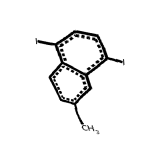 Cc1ccc2c(I)ccc(I)c2c1